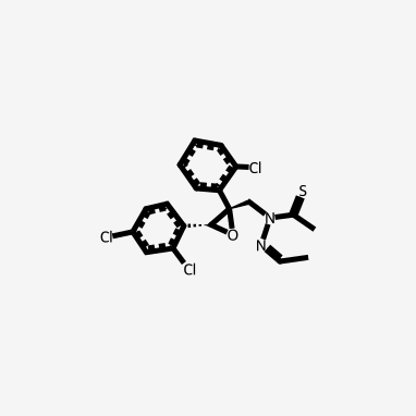 C/C=N\N(C[C@@]1(c2ccccc2Cl)O[C@@H]1c1ccc(Cl)cc1Cl)C(C)=S